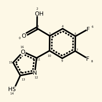 O=C(O)c1cc(F)c(F)cc1-c1nc(S)co1